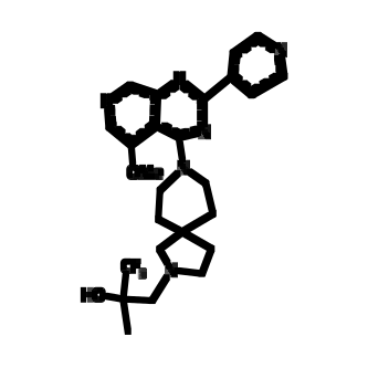 COc1cncc2nc(-c3ccncc3)nc(N3CCC4(CCN(CC(C)(O)C(F)(F)F)C4)CC3)c12